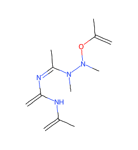 C=C(C)NC(=C)/N=C(/C)N(C)N(C)OC(=C)C